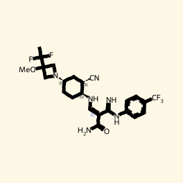 COC1(C(C)(F)F)CN([C@H]2CC[C@H](N/C=C(\C(=N)Nc3ccc(C(F)(F)F)cc3)C(N)=O)[C@@H](C#N)C2)C1